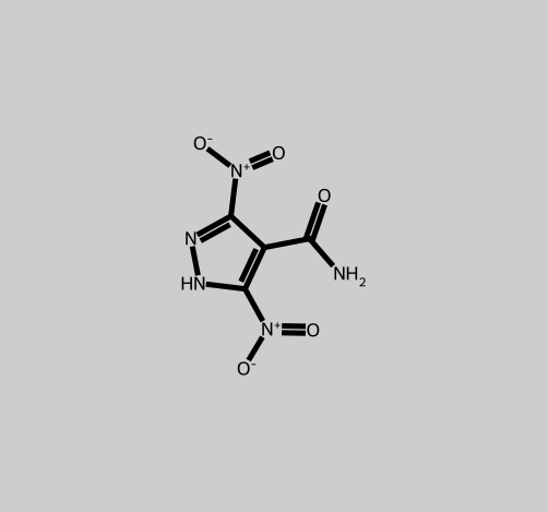 NC(=O)c1c([N+](=O)[O-])n[nH]c1[N+](=O)[O-]